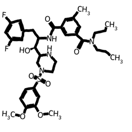 CCCN(CCC)C(=O)c1cc(C)cc(C(=O)NC(Cc2cc(F)cc(F)c2)[C@H](O)C2CN(S(=O)(=O)c3ccc(OC)c(OC)c3)CCN2)c1